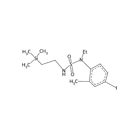 CCN(c1ccc(I)cc1C)S(=O)(=O)NCC[Si](C)(C)C